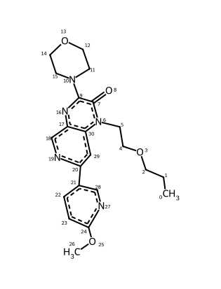 CCCOCCn1c(=O)c(N2CCOCC2)nc2cnc(-c3ccc(OC)nc3)cc21